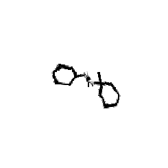 CC1(N=NC2CCCCC2)CCCCC1